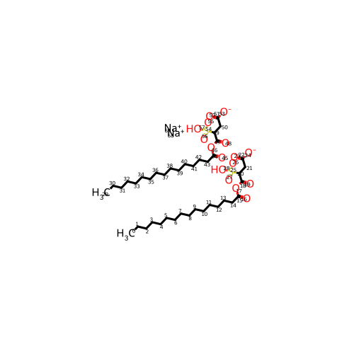 CCCCCCCCCCCCCCCC(=O)OC(=O)C(CC(=O)[O-])S(=O)(=O)O.CCCCCCCCCCCCCCCC(=O)OC(=O)C(CC(=O)[O-])S(=O)(=O)O.[Na+].[Na+]